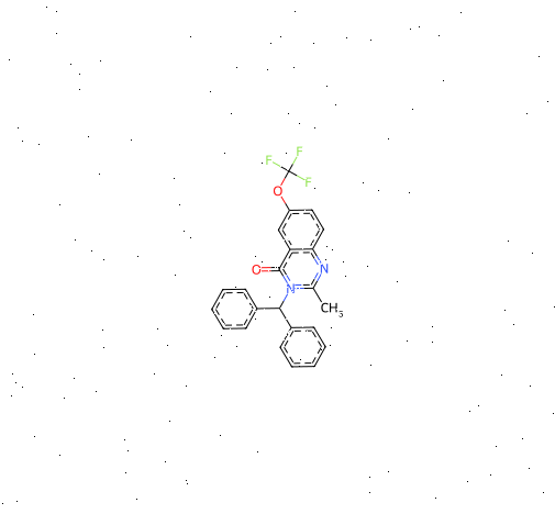 Cc1nc2ccc(OC(F)(F)F)cc2c(=O)n1C(c1ccccc1)c1ccccc1